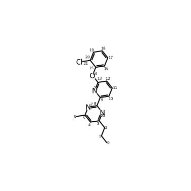 CCCc1cc(C)nc(-c2cccc(Oc3ccccc3Cl)n2)n1